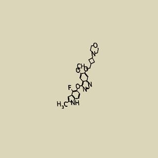 COc1cc2c(Oc3ccc4[nH]c(C)cc4c3F)ncnc2cc1OCC1CC(N2CCOCC2)C1